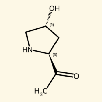 CC(=O)[C@@H]1C[C@@H](O)CN1